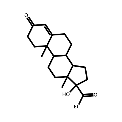 CCC(=O)C1(O)CCC2C3CCC4=CC(=O)CCC4(C)C3CCC21C